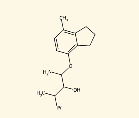 Cc1ccc(OC(N)C(O)C(C)C(C)C)c2c1CCC2